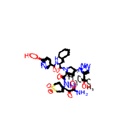 CC(C)(O)c1cnnn1[C@H]1C[C@@H](C(=O)NC2(C(=O)C(N)=O)CCS(=O)(=O)CC2)N(C(=O)C(CC2CCCCC2)NC(=O)c2ccc(O)nc2)C1